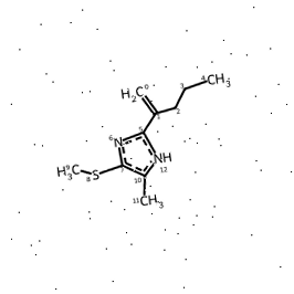 C=C(CCC)c1nc(SC)c(C)[nH]1